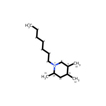 CCCCCCCN1CC(C)C(C)CC1C